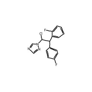 Fc1ccc(C(c2ccccc2F)C(Cl)n2cncn2)cc1